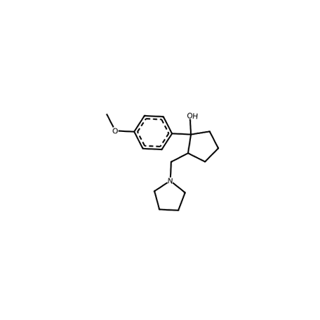 COc1ccc(C2(O)CCCC2CN2CCCC2)cc1